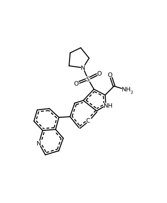 NC(=O)c1[nH]c2ccc(-c3cccc4ncccc34)cc2c1S(=O)(=O)N1CCCC1